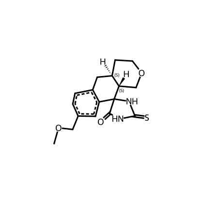 COCc1ccc2c(c1)C1(NC(=S)NC1=O)[C@H]1COCC[C@@H]1C2